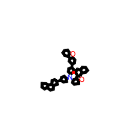 c1ccc2c(c1)ccc1cc(-c3ccc(N(c4ccc(-c5ccc6oc7ccccc7c6c5)cc4)c4cccc5oc6c7ccccc7ccc6c45)cc3)ccc12